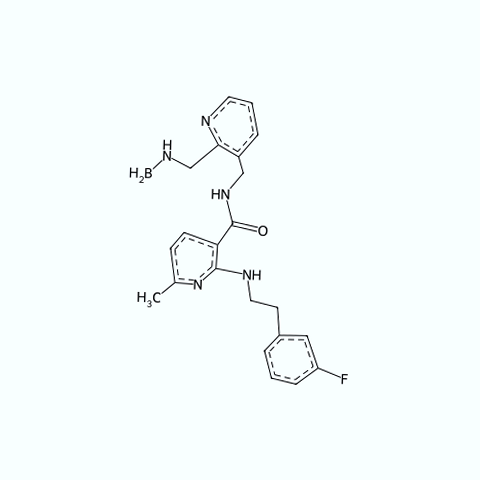 BNCc1ncccc1CNC(=O)c1ccc(C)nc1NCCc1cccc(F)c1